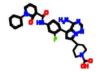 Nc1ncnn2c(C3CCN(C(=O)O)CC3)cc(-c3ccc(NC(=O)c4cccn(-c5ccccc5)c4=O)cc3F)c12